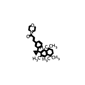 Cc1cc2c(cc1C1(c3cccc(C=CC(=O)N4CCOCC4)c3)CC1)C(C)(C)CCC2(C)C